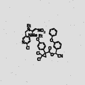 CCN(Cc1ccc(Cl)nc1)/C(=C/[N+](=O)[O-])NC.CCOc1ccc(C2(C(=O)OC(C#N)c3cccc(Oc4ccccc4)c3)CC2(Cl)Cl)cc1